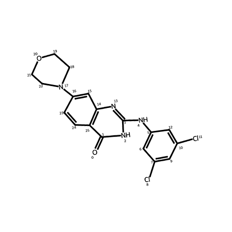 O=c1[nH]c(Nc2cc(Cl)cc(Cl)c2)nc2cc(N3CCOCC3)ccc12